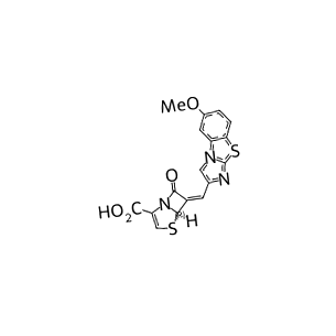 COc1ccc2sc3nc(C=C4C(=O)N5C(C(=O)O)=CS[C@H]45)cn3c2c1